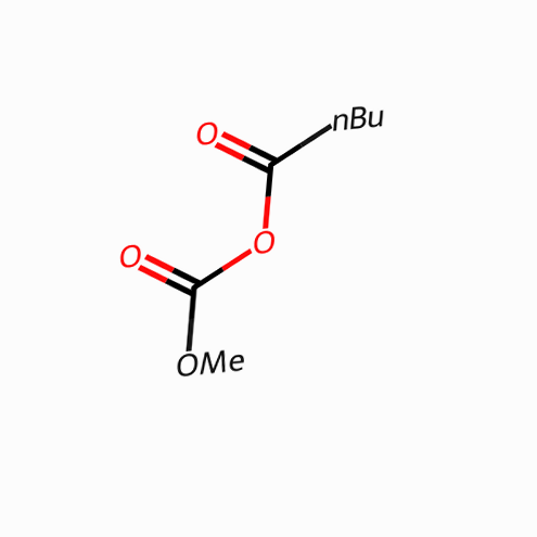 CCCCC(=O)OC(=O)OC